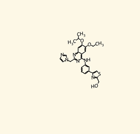 CCOc1cc2c(Nc3cccc(-c4csc(CO)n4)c3)nc(Cn3ccnc3)nc2cc1OC(C)C